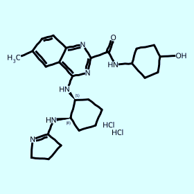 Cc1ccc2nc(C(=O)NC3CCC(O)CC3)nc(N[C@H]3CCCC[C@H]3NC3=NCCC3)c2c1.Cl.Cl